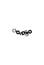 O=C(OC1CCN(Cc2ccc(Cl)cc2)CC1)c1ccccc1